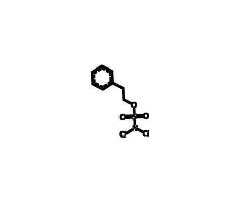 O=S(=O)(OCCc1ccccc1)N(Cl)Cl